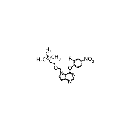 C[Si](C)(C)CCOCn1ccc2ncnc(Oc3ccc([N+](=O)[O-])cc3F)c21